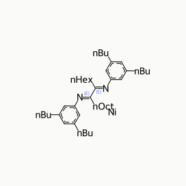 CCCCCCCCC(=N\c1cc(CCCC)cc(CCCC)c1)/C(CCCCCC)=N/c1cc(CCCC)cc(CCCC)c1.[Ni]